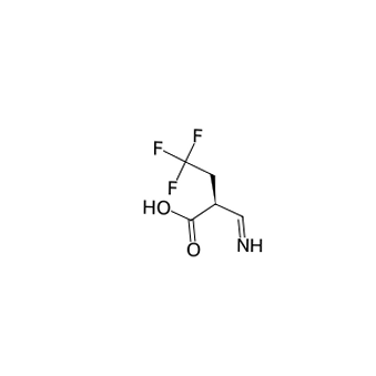 N=C[C@H](CC(F)(F)F)C(=O)O